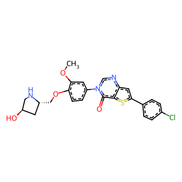 COc1cc(-n2cnc3cc(-c4ccc(Cl)cc4)sc3c2=O)ccc1OC[C@@H]1C[C@@H](O)CN1